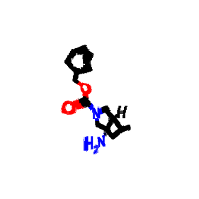 CC1C[C@@]2(N)CN(C(=O)OCc3ccccc3)C[C@@H]12